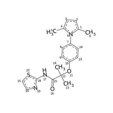 Cc1ccc(C)n1-c1ccc(OC(C)(C)C(=O)Nc2nccs2)cc1